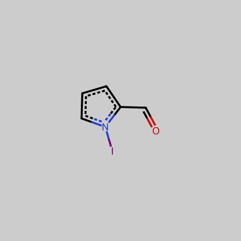 O=Cc1cccn1I